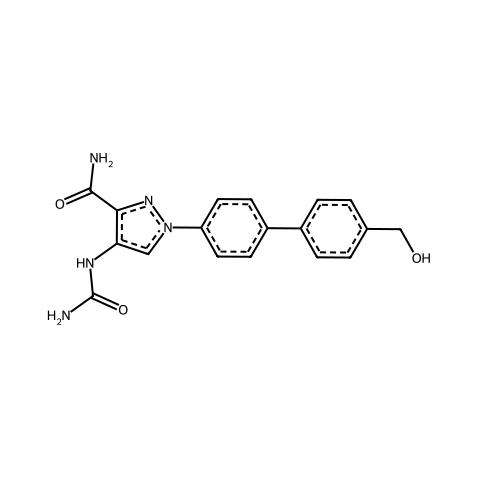 NC(=O)Nc1cn(-c2ccc(-c3ccc(CO)cc3)cc2)nc1C(N)=O